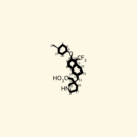 C[C@H]1CC[C@@H](Oc2ccc3cc(C[C@@]4(CC(=O)O)CCCNC4)ccc3c2C(F)(F)F)CC1